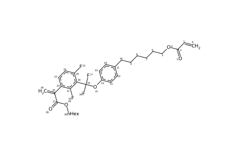 C=CC(=O)OCCCCCCc1ccc(OC(F)(F)c2c(F)ccc(C(=C)C(=O)OCCCCCC)c2F)cc1